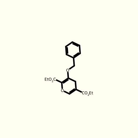 CCOC(=O)C1=COC(C(=O)OCC)=C(OCc2ccccc2)C1